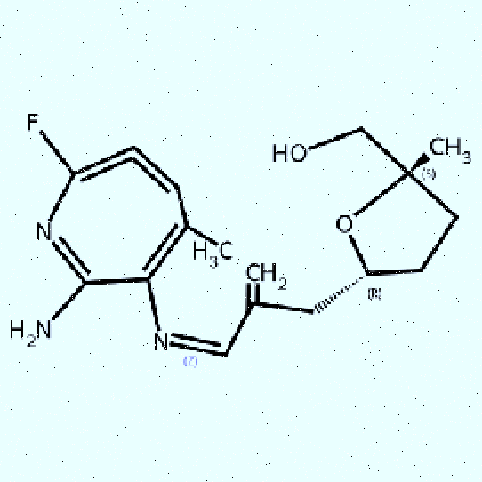 C=C(/C=N\C1=C(C)C=C=C(F)N=C1N)C[C@H]1CC[C@@](C)(CO)O1